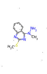 CSc1nc(N(C)N)c2ccccc2n1